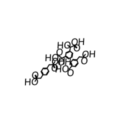 O=C(O)C(O)c1cccc(C(O)C(=O)O)c1.O=C(O)Cc1ccc(C(=O)O)cc1.O=C(O)Cc1ccc(CC(=O)O)cc1